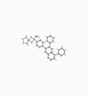 NC1(c2ccc(-c3nc4ccnc(-c5cccnc5)c4cc3-c3ccccc3)cc2)CC2(C1)OCCO2